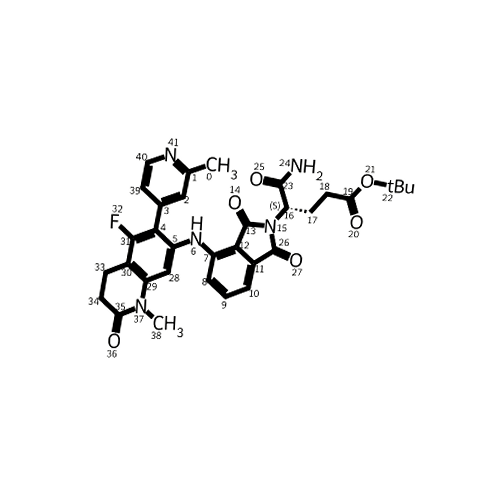 Cc1cc(-c2c(Nc3cccc4c3C(=O)N([C@@H](CCC(=O)OC(C)(C)C)C(N)=O)C4=O)cc3c(c2F)CCC(=O)N3C)ccn1